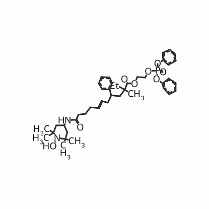 CCC(C)(CC(C/C=C/CCCC(=O)NC1CC(C)(C)N(O)C(C)(C)C1)c1ccccc1)C(=O)OCCOP(=O)(Oc1ccccc1)Oc1ccccc1